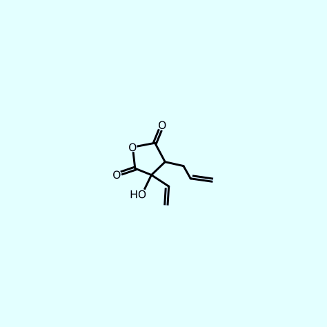 C=CCC1C(=O)OC(=O)C1(O)C=C